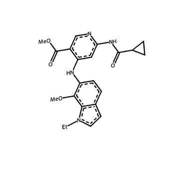 CCn1ccc2ccc(Nc3cc(NC(=O)C4CC4)ncc3C(=O)OC)c(OC)c21